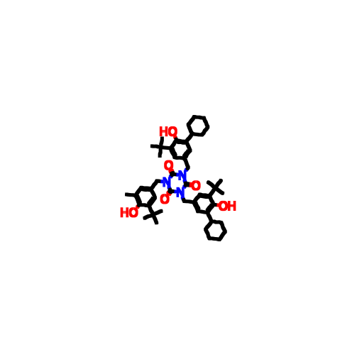 Cc1cc(Cn2c(=O)n(Cc3cc(C4CCCCC4)c(O)c(C(C)(C)C)c3)c(=O)n(Cc3cc(C4CCCCC4)c(O)c(C(C)(C)C)c3)c2=O)cc(C(C)(C)C)c1O